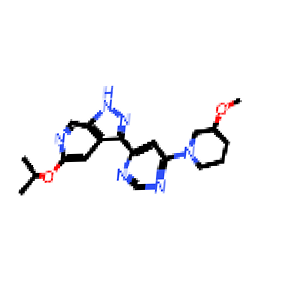 COC1CCCN(c2cc(-c3n[nH]c4cnc(OC(C)C)cc34)ncn2)C1